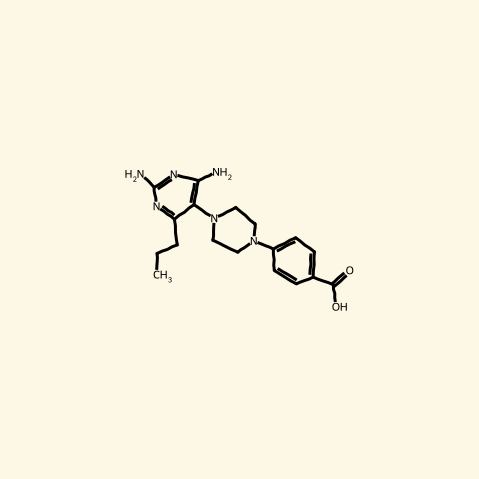 CCCc1nc(N)nc(N)c1N1CCN(c2ccc(C(=O)O)cc2)CC1